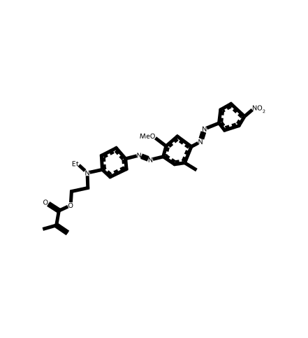 C=C(C)C(=O)OCCN(CC)c1ccc(/N=N/c2cc(C)c(/N=N/c3ccc([N+](=O)[O-])cc3)cc2OC)cc1